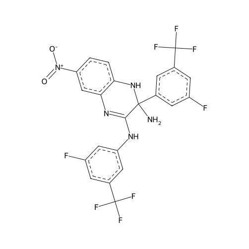 NC1(c2cc(F)cc(C(F)(F)F)c2)Nc2ccc([N+](=O)[O-])cc2N=C1Nc1cc(F)cc(C(F)(F)F)c1